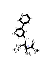 NN/C(Oc1cncc(-c2cccnc2)c1)=C(\N)C(=O)O